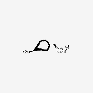 CC(C)(C)[C@H]1CC[C@H](CC(=O)O)CC1